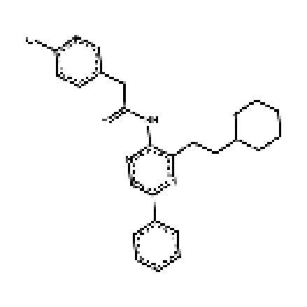 O=C(Cc1ccc(Cl)cc1)Nc1ncc(-c2ccccc2)nc1CCC1CCCCC1